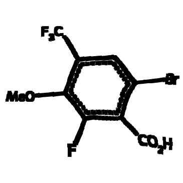 COc1c(C(F)(F)F)cc(Br)c(C(=O)O)c1F